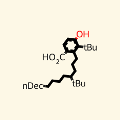 CCCCCCCCCCCCCCC(CCCc1c(C(=O)O)ccc(O)c1C(C)(C)C)C(C)(C)C